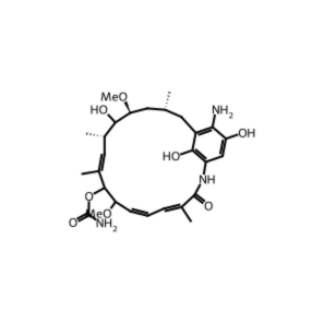 COC1/C=C\C=C(/C)C(=O)Nc2cc(O)c(N)c(c2O)C[C@@H](C)C[C@H](OC)C(O)[C@@H](C)/C=C(\C)C1OC(N)=O